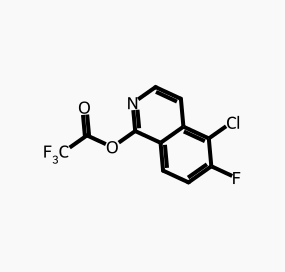 O=C(Oc1nccc2c(Cl)c(F)ccc12)C(F)(F)F